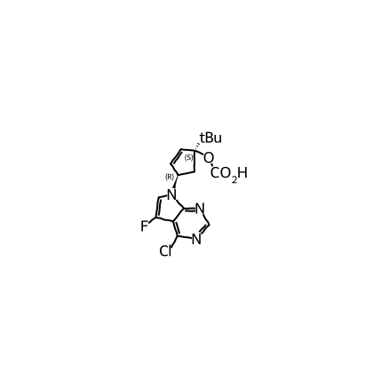 CC(C)(C)[C@@]1(OC(=O)O)C=C[C@H](n2cc(F)c3c(Cl)ncnc32)C1